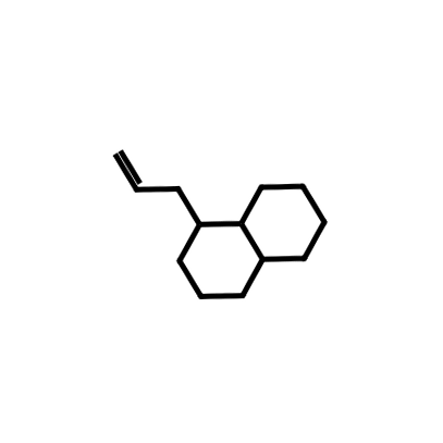 C=CCC1CCCC2CCCCC12